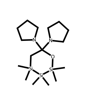 C[Si]1(C)CC(N2CCCC2)(N2CCCC2)O[Si](C)(C)[Si]1(C)C